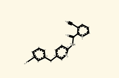 N#Cc1cccnc1C(=O)Nc1ccc(Cc2cccc(F)c2)cn1